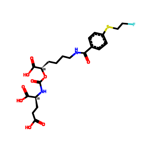 O=C(O)CC[C@H](NC(=O)O[C@@H](CCCCNC(=O)c1ccc(SCCF)cc1)C(=O)O)C(=O)O